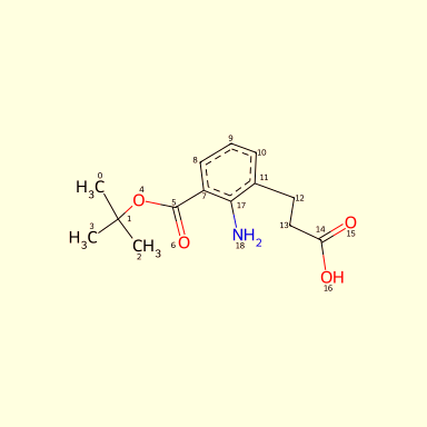 CC(C)(C)OC(=O)c1cccc(CCC(=O)O)c1N